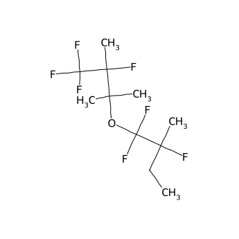 CCC(C)(F)C(F)(F)OC(C)(C)C(C)(F)C(F)(F)F